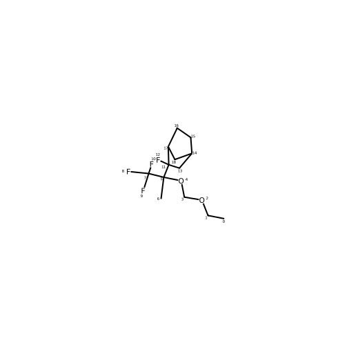 CCOCOC(C)(C(F)(F)F)C1(F)CC2CCC1C2